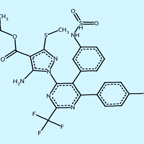 CCOC(=O)c1c(SC)nn(-c2nc(C(F)(F)F)nc(-c3ccc(F)cc3)c2-c2cccc(N[SH](=O)=O)c2)c1N